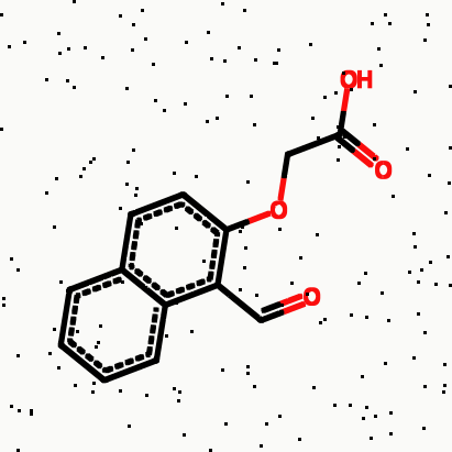 O=Cc1c(OCC(=O)O)ccc2ccccc12